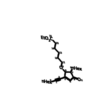 CCCCCCC#CC1=CC(=O)C(CCCCCC)C1OCCCCCC(=O)OCC